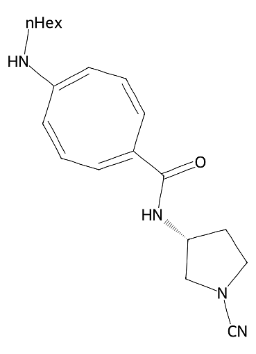 CCCCCCNC1=C/C=C\C(C(=O)N[C@@H]2CCN(C#N)C2)=C/C=C\1